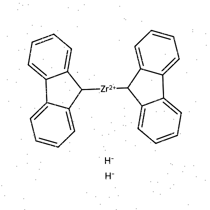 [H-].[H-].c1ccc2c(c1)-c1ccccc1[CH]2[Zr+2][CH]1c2ccccc2-c2ccccc21